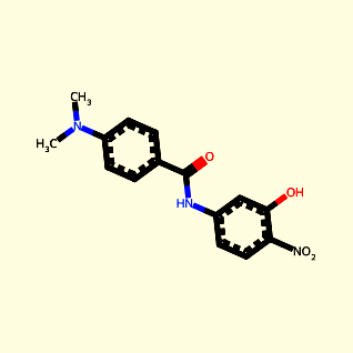 CN(C)c1ccc(C(=O)Nc2ccc([N+](=O)[O-])c(O)c2)cc1